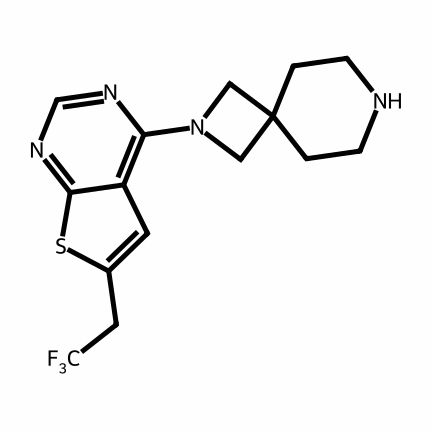 FC(F)(F)Cc1cc2c(N3CC4(CCNCC4)C3)ncnc2s1